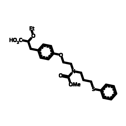 CCOC(Cc1ccc(OCCN(CCCSc2ccccc2)C(=O)OC)cc1)C(=O)O